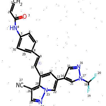 C=CC(=O)Nc1ccc(/C=C/c2cc(-c3cnn(C(F)F)c3)cn3ncc(C#N)c23)cc1